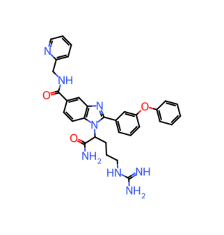 N=C(N)NCCCC(C(N)=O)n1c(-c2cccc(Oc3ccccc3)c2)nc2cc(C(=O)NCc3ccccn3)ccc21